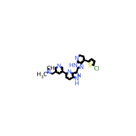 CN(C)Cc1cncc(-c2ccc3[nH]nc(-c4nc5c(-c6ccc(Cl)s6)ccnc5[nH]4)c3n2)c1